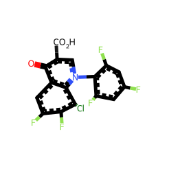 O=C(O)c1cn(-c2c(F)cc(F)cc2F)c2c(Cl)c(F)c(F)cc2c1=O